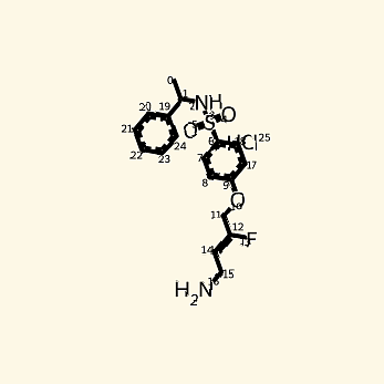 CC(NS(=O)(=O)c1ccc(OCC(F)=CCN)cc1)c1ccccc1.Cl